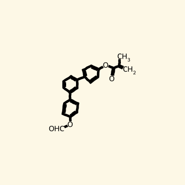 C=C(C)C(=O)Oc1ccc(-c2cccc(-c3ccc(OC=O)cc3)c2)cc1